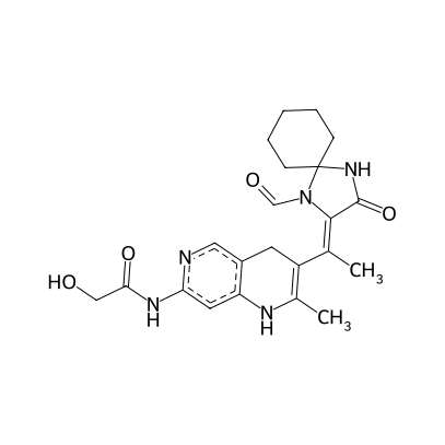 CC1=C(/C(C)=C2/C(=O)NC3(CCCCC3)N2C=O)Cc2cnc(NC(=O)CO)cc2N1